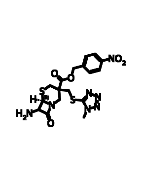 Cn1nnnc1SCC1(C(=O)OCc2ccc([N+](=O)[O-])cc2)CS[C@@H]2C(N)C(=O)N2C1